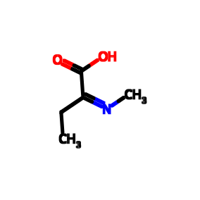 CCC(=NC)C(=O)O